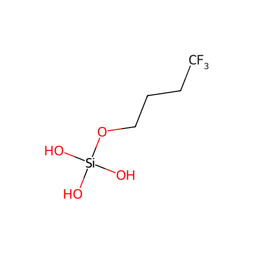 O[Si](O)(O)OCCCC(F)(F)F